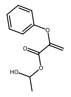 C=C(Oc1ccccc1)C(=O)OC(C)O